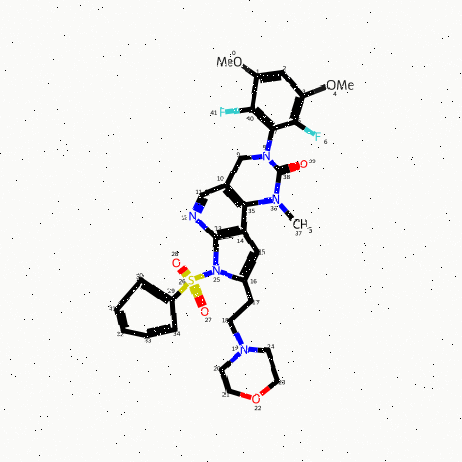 COc1cc(OC)c(F)c(N2Cc3cnc4c(cc(CCN5CCOCC5)n4S(=O)(=O)c4ccccc4)c3N(C)C2=O)c1F